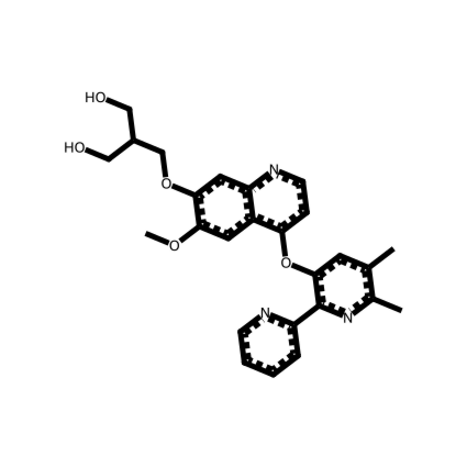 COc1cc2c(Oc3cc(C)c(C)nc3-c3ccccn3)ccnc2cc1OCC(CO)CO